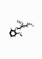 CSc1ccccc1OC[C@H](O)CN